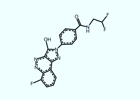 O=C(NCC(F)F)c1ccc(-n2nc3c(nnc4c(F)cccc43)c2O)cc1